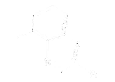 Cc1cccc2nc(C(C)C)cnc12